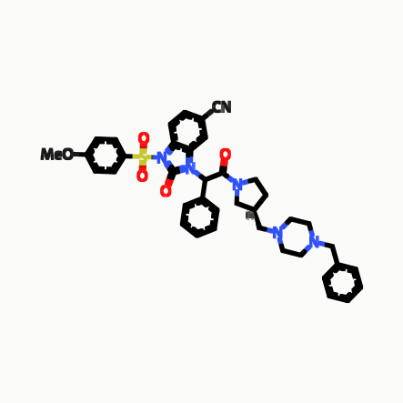 COc1ccc(S(=O)(=O)n2c(=O)n(C(C(=O)N3CC[C@@H](CN4CCN(Cc5ccccc5)CC4)C3)c3ccccc3)c3cc(C#N)ccc32)cc1